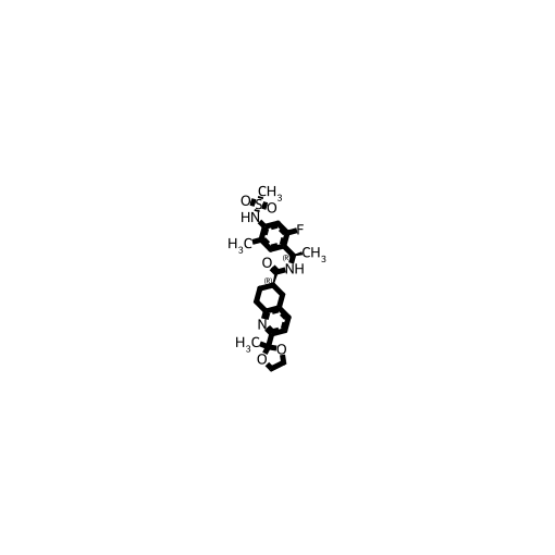 Cc1cc([C@@H](C)NC(=O)[C@@H]2CCc3nc(C4(C)OCCO4)ccc3C2)c(F)cc1NS(C)(=O)=O